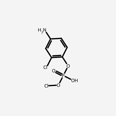 Nc1ccc(OP(=O)(O)OCl)c(Cl)c1